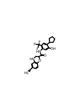 C#Cc1ccc2c(c1)NCC(C(=O)Nc1cc(O)c(C3CCCC3)cc1C(F)(F)F)O2